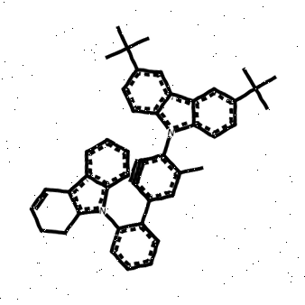 Cc1cc(-c2ccccc2-n2c3c(c4ccccc42)C=CCC3)c#cc1-n1c2ccc(C(C)(C)C)cc2c2cc(C(C)(C)C)ccc21